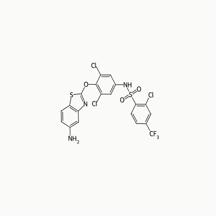 Nc1ccc2sc(Oc3c(Cl)cc(NS(=O)(=O)c4ccc(C(F)(F)F)cc4Cl)cc3Cl)nc2c1